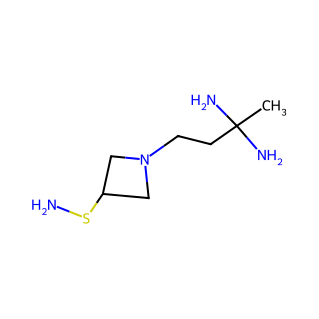 CC(N)(N)CCN1CC(SN)C1